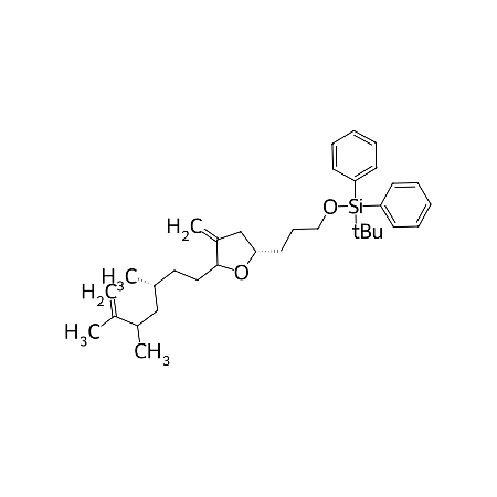 C=C(C)C(C)C[C@H](C)CCC1O[C@@H](CCCO[Si](c2ccccc2)(c2ccccc2)C(C)(C)C)CC1=C